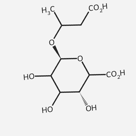 CC(CC(=O)O)O[C@H]1OC(C(=O)O)[C@H](O)C(O)C1O